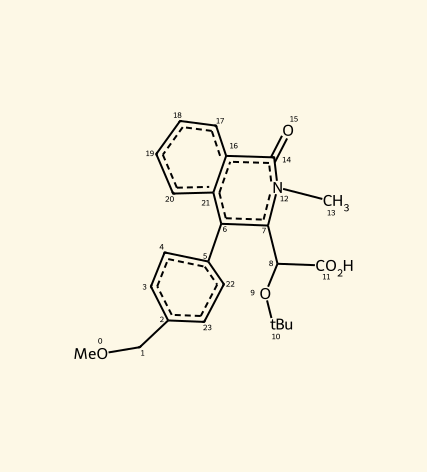 COCc1ccc(-c2c(C(OC(C)(C)C)C(=O)O)n(C)c(=O)c3ccccc23)cc1